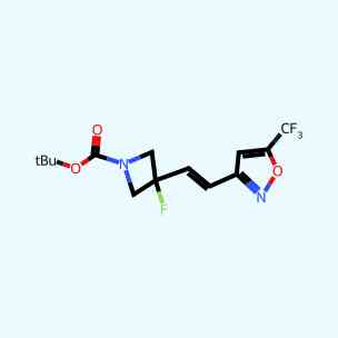 CC(C)(C)OC(=O)N1CC(F)(C=Cc2cc(C(F)(F)F)on2)C1